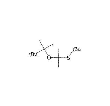 CC(C)(C)SC(C)(C)OC(C)(C)C(C)(C)C